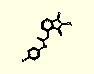 CN1C(=O)c2cccc(CC(=O)Nc3ccc(Br)cc3)c2C1=O